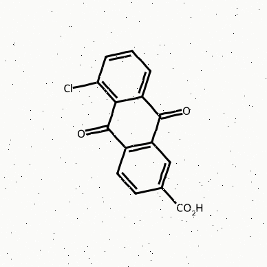 O=C(O)c1ccc2c(c1)C(=O)c1cccc(Cl)c1C2=O